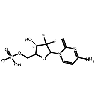 C=C1N=C(N)C=CN1C1OC(COP(=O)(O)O)[C@H](O)C1(F)F